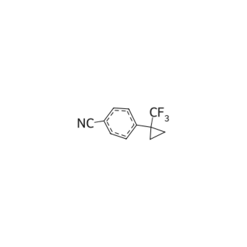 N#Cc1ccc(C2(C(F)(F)F)CC2)cc1